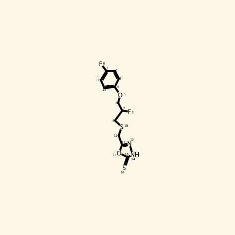 Fc1ccc(OCC(F)CSCc2n[nH]c(=S)o2)cc1